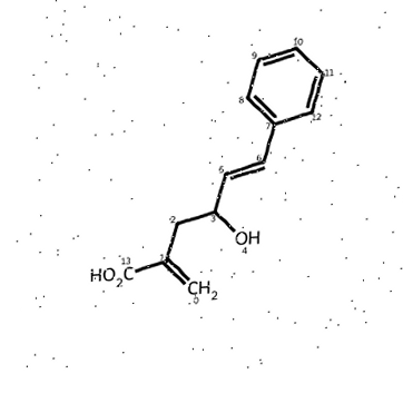 C=C(CC(O)C=Cc1ccccc1)C(=O)O